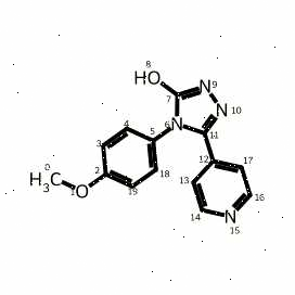 COc1ccc(-n2c(O)nnc2-c2ccncc2)cc1